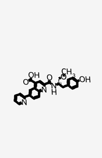 COC[C@H](Cc1ccc(O)cc1)NC(=O)c1cc(C(=O)O)c2cc(-c3ccccn3)ccc2n1